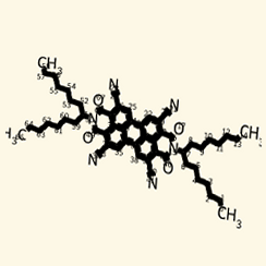 CCCCCCCC(CCCCCCC)N1C(=O)c2c(C#N)cc3c4cc(C#N)c5c6c(c(C#N)cc(c7cc(C#N)c(c2c37)C1=O)c64)C(=O)N(C(CCCCCCC)CCCCCCC)C5=O